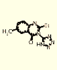 CCc1nc2ccc(C)cc2c(=O)n1-c1nnn[nH]1